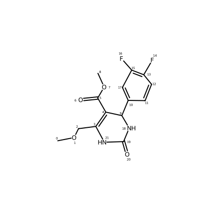 COCC1=C(C(=O)OC)C(c2ccc(F)c(F)c2)NC(=O)N1